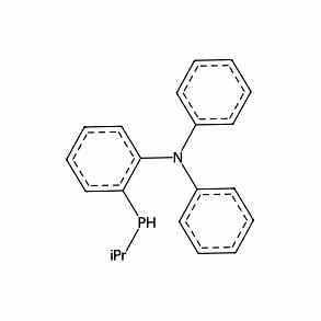 CC(C)Pc1ccccc1N(c1ccccc1)c1ccccc1